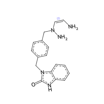 N/C=C\N(N)Cc1ccc(Cn2c(=O)[nH]c3ccccc32)cc1